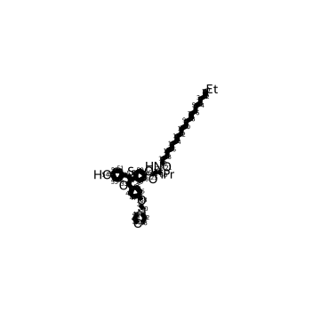 CCC=CCC=CCC=CCC=CCC=CCC=CCCC(=O)NC(C(=O)Oc1ccc2c(C(=O)c3ccc(OCCN4CCOCC4)cc3)c(-c3ccc(O)cc3)sc2c1)C(C)C